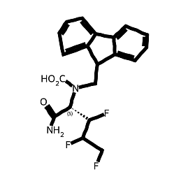 NC(=O)[C@@H](C(F)C(F)CF)N(CC1c2ccccc2-c2ccccc21)C(=O)O